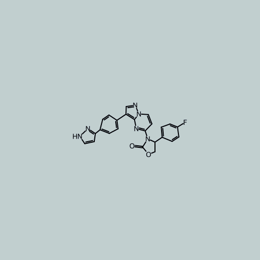 O=C1OCC(c2ccc(F)cc2)N1c1ccn2ncc(-c3ccc(-c4cc[nH]n4)cc3)c2n1